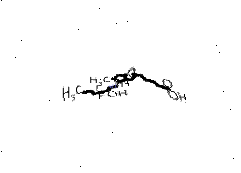 CCCCC(F)(F)C(O)/C=C/[C@H]1C(C)CC2OC(CCCCC(=O)O)C[C@@H]21